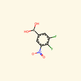 O=[N+]([O-])c1cc(B(O)O)cc(F)c1F